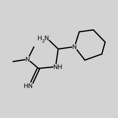 CN(C)C(=N)NC(N)N1CCCCC1